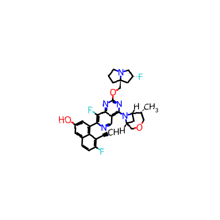 C#Cc1c(F)ccc2cc(O)cc(-c3ncc4c(N5[C@H]6COC[C@@H](C)[C@@H]5C6)nc(OC[C@@]56CCCN5C[C@H](F)C6)nc4c3F)c12